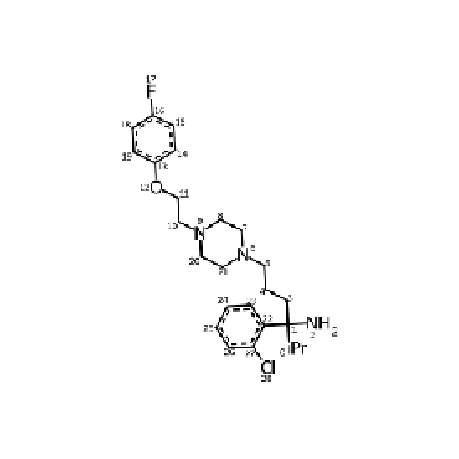 CC(C)C(N)(CCCN1CCN(CCOc2ccc(F)cc2)CC1)c1ccccc1Cl